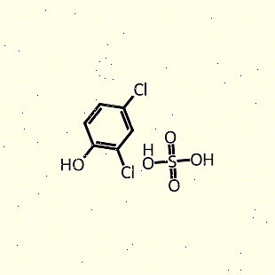 O=S(=O)(O)O.Oc1ccc(Cl)cc1Cl